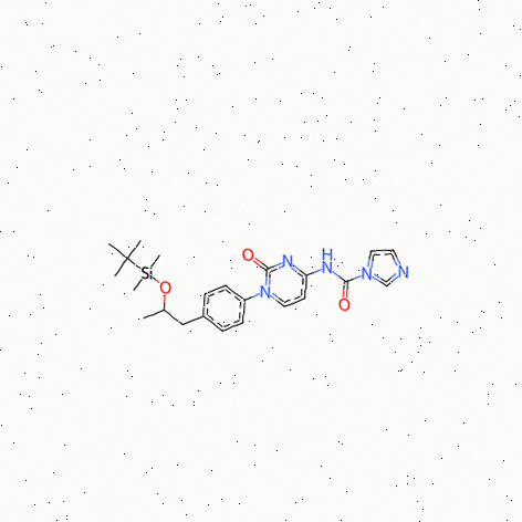 CC(Cc1ccc(-n2ccc(NC(=O)n3ccnc3)nc2=O)cc1)O[Si](C)(C)C(C)(C)C